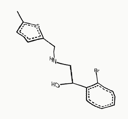 Cc1ccc(CNCC(O)c2ccccc2Br)s1